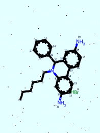 Br.CCCCCCN1c2cc(N)ccc2-c2ccc(N)cc2C1c1ccccc1